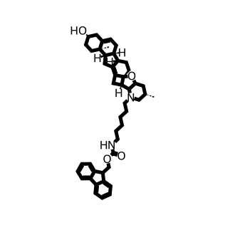 C[C@H]1CC2O[C@@]34CC[C@@H]5C(=C3C[C@@H]4C2N(CCCCCCNC(=O)OCC2c3ccccc3-c3ccccc32)C1)C[C@H]1[C@H]5CC=C2C[C@@H](O)CC[C@@]21C